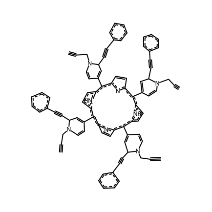 C#CCN1C=CC(c2c3nc(c(C4=CC(C#Cc5ccccc5)N(CC#C)C=C4)c4ccc([nH]4)c(C4=CC(C#Cc5ccccc5)N(CC#C)C=C4)c4nc(c(C5=CC(C#Cc6ccccc6)N(CC#C)C=C5)c5ccc2[nH]5)C=C4)C=C3)=CC1C#Cc1ccccc1